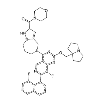 O=C(C1C=C2CN(c3nc(OCC45CCCN4CCC5)nc4c(F)c(-c5cccc6cccc(F)c56)ncc34)CCCN2N1)N1CCOCC1